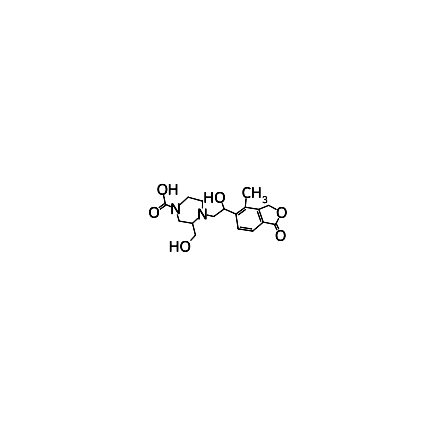 Cc1c(C(O)CN2CCN(C(=O)O)CC2CO)ccc2c1COC2=O